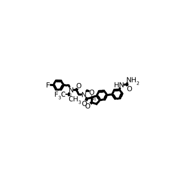 C[C@H](N(Cc1ccc(F)cc1)C(=O)CN1CO[C@]2(C(=O)Cc3cc(-c4cccc(NC(N)=O)c4)ccc32)C1=O)C(F)(F)F